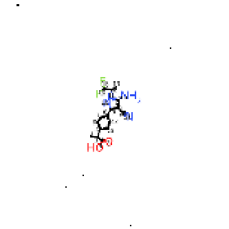 CC(C(=O)O)c1ccc(-c2nn(C(C)C(F)F)c(N)c2C#N)cc1